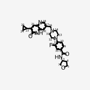 O=C(N[C@@H]1CCOC1)c1ccc(N2CCN(Cc3cnc4cc(C5CC5)c(=O)[nH]c4c3)CC2)c(F)c1